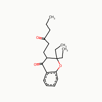 CCCC(=O)CCC1C(=O)c2ccccc2OC1(CC)CC